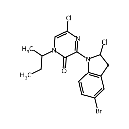 CCC(C)n1cc(Cl)nc(N2c3ccc(Br)cc3CC2Cl)c1=O